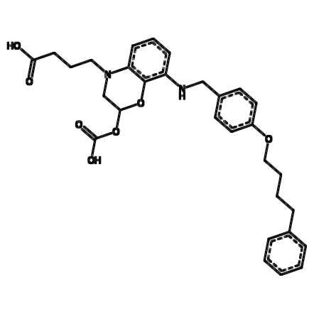 O=C(O)CCCN1CC(OC(=O)O)Oc2c(NCc3ccc(OCCCCc4ccccc4)cc3)cccc21